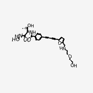 C[C@H](O)[C@H](NC(=O)c1ccc(C#CC#Cc2ccc(CNCCOCCO)o2)cc1)C(=O)NO